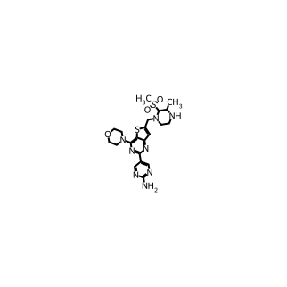 CC1NCCN(Cc2cc3nc(-c4cnc(N)nc4)nc(N4CCOCC4)c3s2)C1S(C)(=O)=O